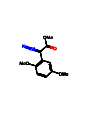 COC(=O)C(=[N+]=[N-])c1cc(OC)ccc1OC